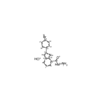 Cl.NNC(=O)c1cccn2cc(-c3ccc(Br)cc3)nc12